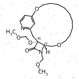 COCO[C@]12Cc3cc(ccn3)OCCCCCCCCCOC[C@@H]1N(COC)C2=O